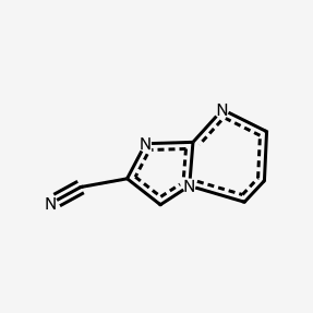 N#Cc1cn2cccnc2n1